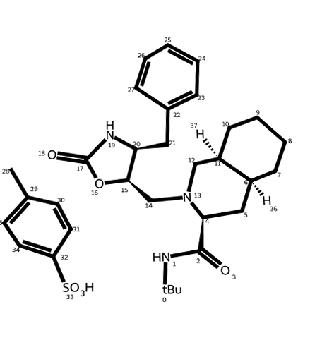 CC(C)(C)NC(=O)[C@@H]1C[C@@H]2CCCC[C@@H]2CN1C[C@H]1OC(=O)N[C@H]1Cc1ccccc1.Cc1ccc(S(=O)(=O)O)cc1